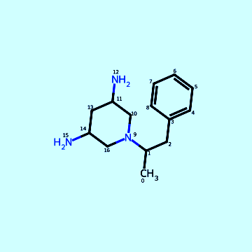 CC(Cc1ccccc1)N1CC(N)CC(N)C1